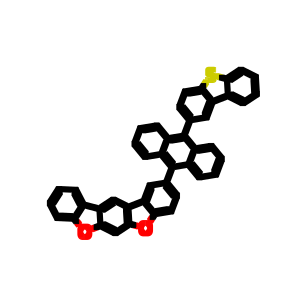 c1ccc2c(c1)oc1cc3oc4ccc(-c5c6ccccc6c(-c6ccc7sc8ccccc8c7c6)c6ccccc56)cc4c3cc12